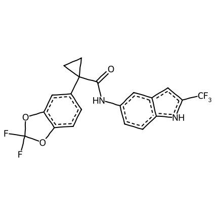 O=C(Nc1ccc2[nH]c(C(F)(F)F)cc2c1)C1(c2ccc3c(c2)OC(F)(F)O3)CC1